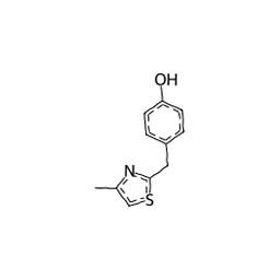 Cc1csc(Cc2ccc(O)cc2)n1